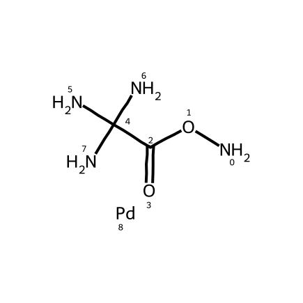 NOC(=O)C(N)(N)N.[Pd]